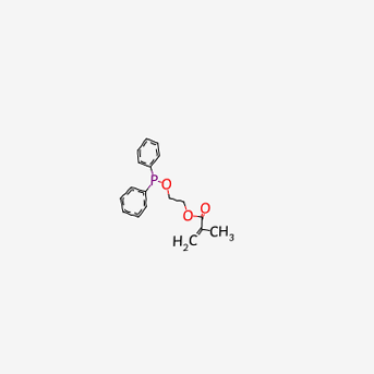 C=C(C)C(=O)OCCOP(c1ccccc1)c1ccccc1